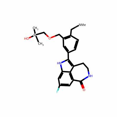 CNCc1ccc(-c2[nH]c3cc(F)cc4c3c2CCNC4=O)cc1COC[Si](C)(C)O